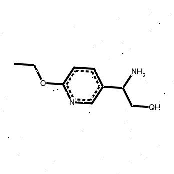 CCOc1ccc(C(N)CO)cn1